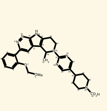 COCOc1ccccc1-c1cc2c3c([nH]c2nn1)CCN(c1ncc(C2CCN(C(=O)O)CC2)cn1)C3C